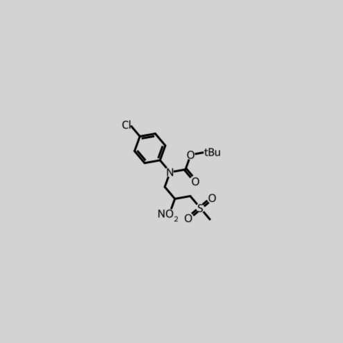 CC(C)(C)OC(=O)N(CC(CS(C)(=O)=O)[N+](=O)[O-])c1ccc(Cl)cc1